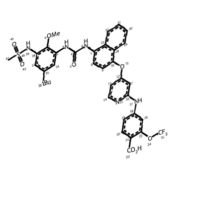 COc1c(NC(=O)Nc2ccc(Oc3ccnc(Nc4ccc(C(=O)O)c(OC(F)(F)F)c4)c3)c3ccccc23)cc(C(C)(C)C)cc1NS(C)(=O)=O